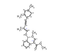 CO/N=C(/C(=O)OC)c1ccccc1CO/N=C(\C)C#Cc1ccc(C)cc1C